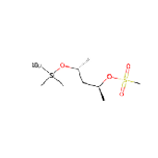 C[C@H](C[C@H](C)OS(C)(=O)=O)O[Si](C)(C)C(C)(C)C